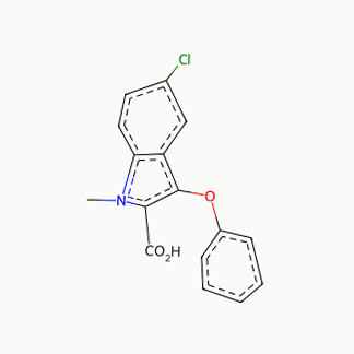 Cn1c(C(=O)O)c(Oc2ccccc2)c2cc(Cl)ccc21